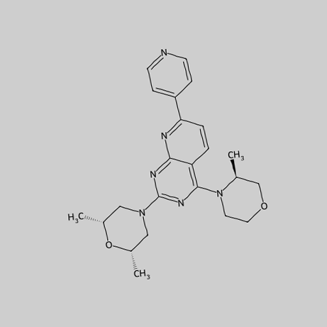 C[C@@H]1CN(c2nc(N3CCOC[C@@H]3C)c3ccc(-c4ccncc4)nc3n2)C[C@H](C)O1